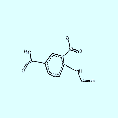 O=CNc1ccc(C(=O)O)cc1[N+](=O)[O-]